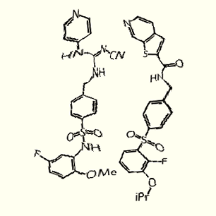 CC(C)Oc1cccc(S(=O)(=O)c2ccc(CNC(=O)c3cc4ccncc4s3)cc2)c1F.COc1ccc(F)cc1NS(=O)(=O)c1ccc(CN/C(=N\C#N)Nc2ccncc2)cc1